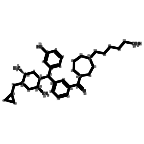 C[C@@H]1CN([C@@H](c2cccc(O)c2)c2cccc(C(=O)N3CCCN(CCCCCC(=O)O)CC3)c2)[C@@H](C)CN1CC1CC1